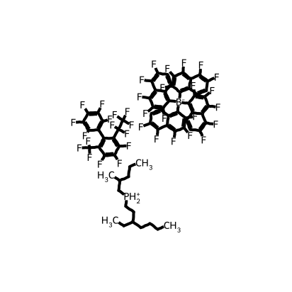 CCCCC(CC)CC[PH2+]CC(C)CCC.Fc1c(F)c(F)c(-c2c(C(F)(F)F)c(F)c(F)c(F)c2C(F)(F)C(F)(F)F)c(F)c1F.Fc1ccc2c([B-](c3c(F)c(F)c(F)c4c(F)c(F)ccc34)(c3c(F)c(F)c(F)c4c(F)c(F)ccc34)c3c(F)c(F)c(F)c4c(F)c(F)ccc34)c(F)c(F)c(F)c2c1F